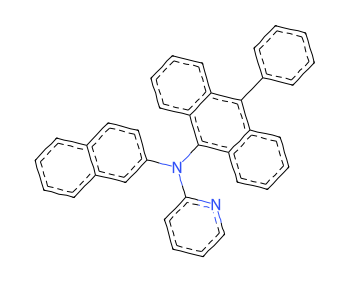 c1ccc(-c2c3ccccc3c(N(c3ccc4ccccc4c3)c3ccccn3)c3ccccc23)cc1